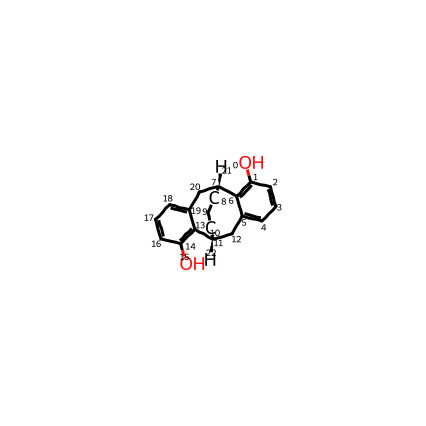 Oc1cccc2c1[C@@H]1CCC[C@H](C2)c2c(O)cccc2C1